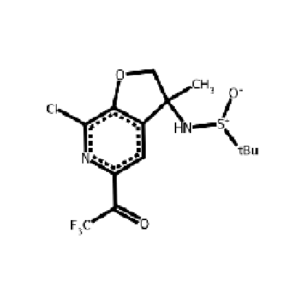 CC1(N[S+]([O-])C(C)(C)C)COc2c1cc(C(=O)C(F)(F)F)nc2Cl